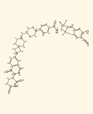 CC1(C)[C@H](NC(=O)c2ccc(N3CCC(CN4CCC5(CC4)CN(c4ccc6c(=O)n(C7CCC(=O)NC7=O)nnc6c4)C5)CC3)nc2)C(C)(C)[C@H]1Oc1ccc(C#N)c(Cl)c1